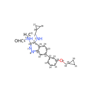 C[C@@H](Nc1c(NC=O)nnc2cc(-c3cccc(OCC4CC4)c3)ccc12)C1CC1